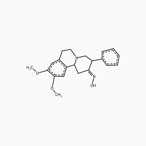 COc1cc2c(cc1OC)C1CC(=NO)C(c3ccccc3)CN1CC2